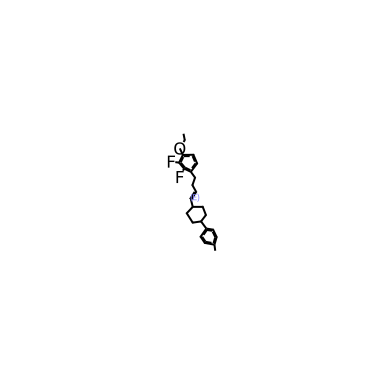 CCOc1ccc(CC/C=C/C2CCC(c3ccc(C)cc3)CC2)c(F)c1F